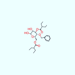 CCC(CC)C(=O)OC[C@H]1OC(O)[C@H](O)[C@@H](OC(=O)C(CC)CC)[C@@H]1OCc1ccccc1